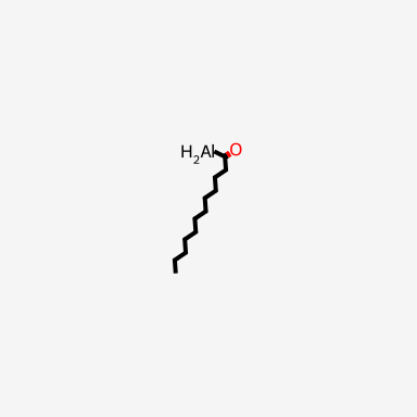 CCCCCCCCCCC[C](=O)[AlH2]